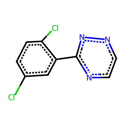 Clc1ccc(Cl)c(-c2nccnn2)c1